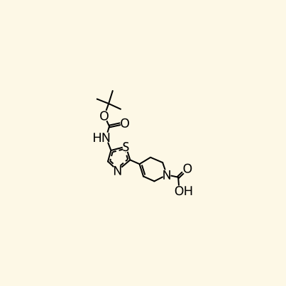 CC(C)(C)OC(=O)Nc1cnc(C2=CCN(C(=O)O)CC2)s1